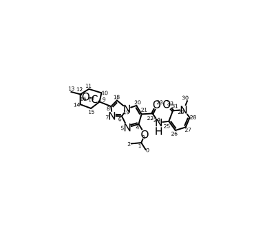 CC(C)Oc1nc2nc(C34CCC(C)(CC3)OC4)cn2cc1C(=O)Nc1cccn(C)c1=O